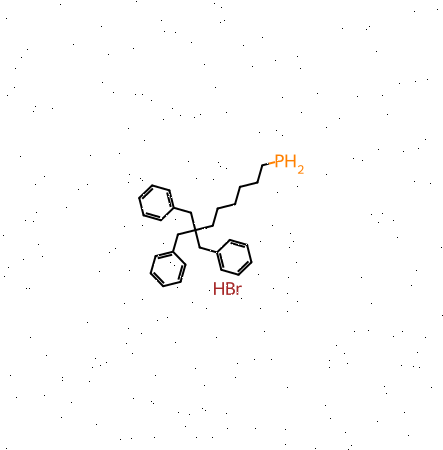 Br.PCCCCCCC(Cc1ccccc1)(Cc1ccccc1)Cc1ccccc1